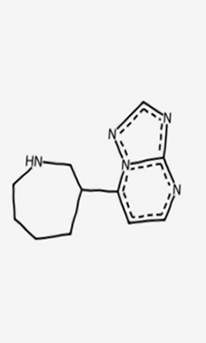 c1cc(C2CCCCNC2)n2ncnc2n1